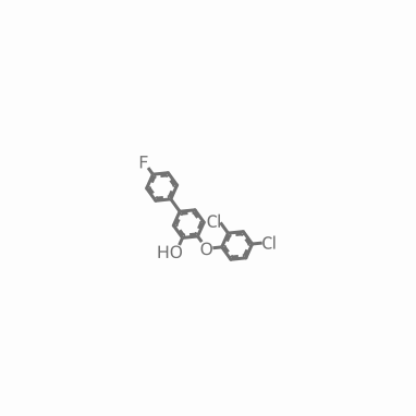 Oc1cc(-c2ccc(F)cc2)ccc1Oc1ccc(Cl)cc1Cl